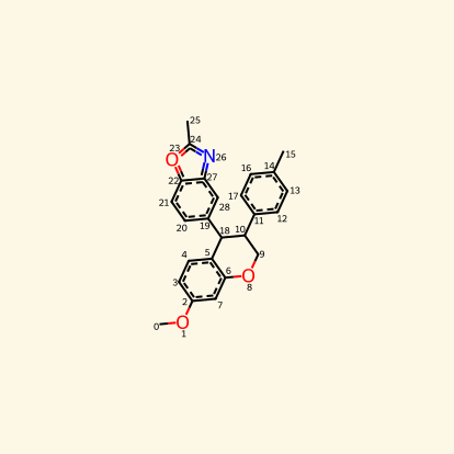 COc1ccc2c(c1)OCC(c1ccc(C)cc1)C2c1ccc2oc(C)nc2c1